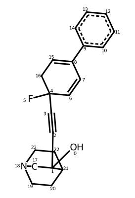 OC1(C#CC2(F)C=CC(c3ccccc3)=CC2)CN2CCC1CC2